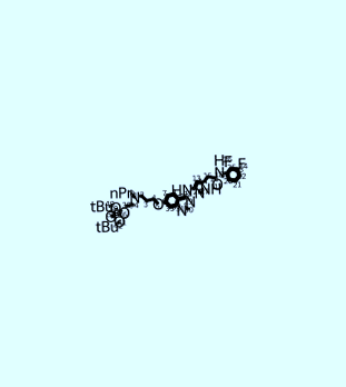 CCCN(CCCOc1ccc2c(Nc3cc(CC(=O)Nc4cccc(F)c4F)[nH]n3)ncnc2c1)CCOP(=O)(OC(C)(C)C)OC(C)(C)C